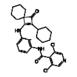 O=C(Nc1[c]c(NC2=C(C3CCCCC3)C(=O)C23CCCCC3)ccc1)c1c(Cl)cncc1Cl